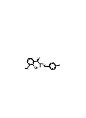 COc1cccc(C(=O)N/N=C/c2ccc(F)cc2)c1O